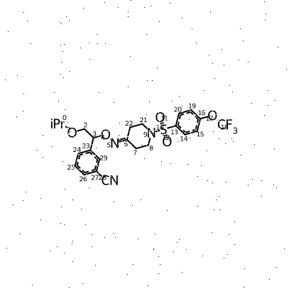 CC(C)OCC(ON=C1CCN(S(=O)(=O)c2ccc(OC(F)(F)F)cc2)CC1)c1cccc(C#N)c1